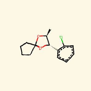 [CH2][C@@H]1OC2(CCCC2)O[C@H]1c1ccccc1Cl